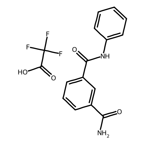 NC(=O)c1cccc(C(=O)Nc2ccccc2)c1.O=C(O)C(F)(F)F